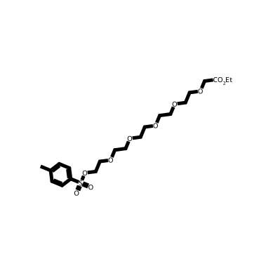 CCOC(=O)COCCOCCOCCOCCOCCOS(=O)(=O)c1ccc(C)cc1